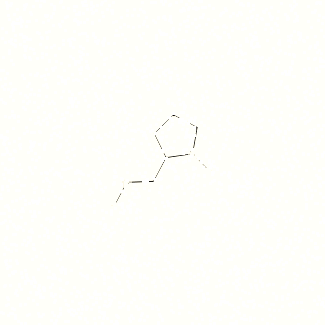 CC(=O)N1CCCC1CNC(C)C